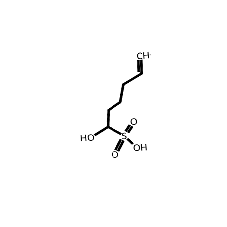 [CH]=CCCCC(O)S(=O)(=O)O